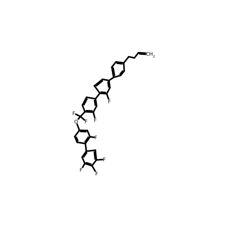 C=CCCc1ccc(-c2ccc(-c3ccc(C(F)(F)Oc4ccc(-c5cc(F)c(F)c(F)c5)c(F)c4)c(F)c3)c(F)c2)cc1